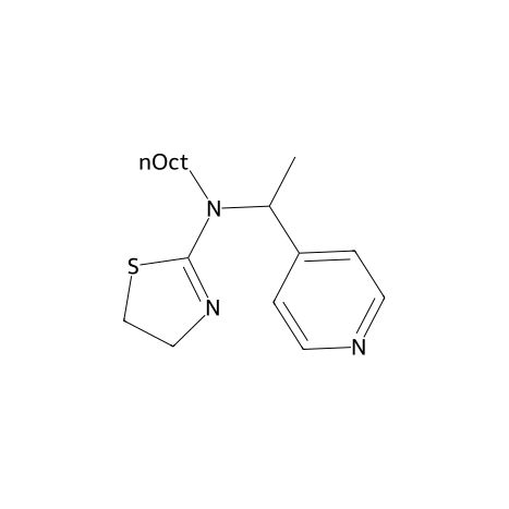 CCCCCCCCN(C1=NCCS1)C(C)c1ccncc1